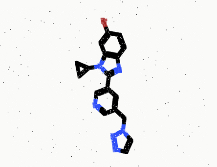 Brc1ccc2nc(-c3cncc(Cn4ccnn4)c3)n(C3CC3)c2c1